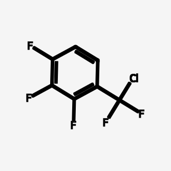 Fc1ccc(C(F)(F)Cl)c(F)c1F